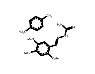 COc1cc(OC)c(OC)cc1C=NNC(=N)N.Cc1ccc(S(=O)(=O)O)cc1